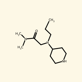 CCCN(CC(=O)N(C)C)C1CCNCC1